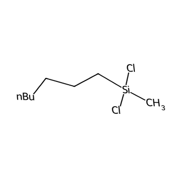 CCCCCCC[Si](C)(Cl)Cl